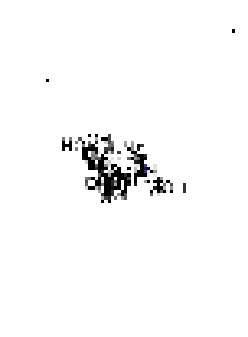 Nc1nc(/C(=N/OCC(=O)O)C(=O)N[C@H]2CON(C3(C(=O)O)CC(N4C=C5C=C(O)C(O)=CN5S4(=O)=O)C(=O)O3)C2=O)cs1